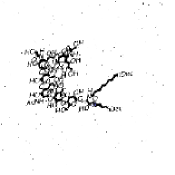 CCCCCCCCCCCCC/C=C/[C@@H](O)[C@H](CO[C@@H]1OC(CO)[C@@H](O[C@@H]2OC(CO)[C@H](O)[C@H](O[C@@H]3OC(CO)[C@@H](O[C@@H]4OC(CO)[C@H](O)[C@H](O[C@]5(C(=O)O)CC(O)[C@@H](NC(=O)CO)C([C@H](O)[C@@H](CO)O[C@]6(C(=O)O)CC(O)[C@@H](NC(=O)CO)C([C@H](O)[C@H](O)CO)O6)O5)C4O)[C@H](O)C3NC(C)=O)C2O)[C@H](O)C1O)NC(=O)CCCCCCCCCCCCCCCCC